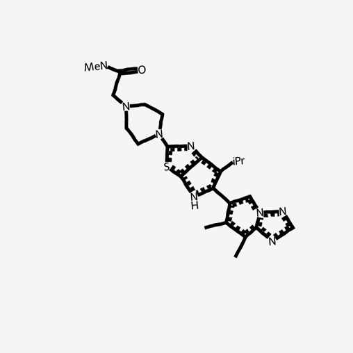 CNC(=O)CN1CCN(c2nc3c(C(C)C)c(-c4cn5ncnc5c(C)c4C)[nH]c3s2)CC1